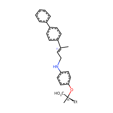 CC[C@](C)(Oc1ccc(NC/C=C(\C)c2ccc(-c3ccccc3)cc2)cc1)C(=O)O